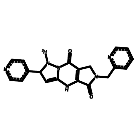 [2H]N1C(c2ccncc2)C=C2NC3=C(CN(Cc4ccccn4)C3=O)C(=O)N21